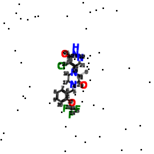 C[C@@H]1C(=O)N(Cc2ccccc2OC(F)(F)F)CCN1c1cn[nH]c(=O)c1Cl